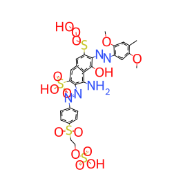 COc1cc(N=Nc2c(SOOO)cc3cc(S(=O)(=O)O)c(N=Nc4ccc(S(=O)(=O)CCOS(=O)(=O)O)cc4)c(N)c3c2O)c(OC)cc1C